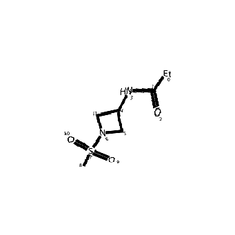 CCC(=O)NC1CN(S(C)(=O)=O)C1